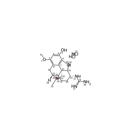 COc1cc(O)c2c3c1C[C@@H]1[C@@H]4CC[C@@H](NC(=N)N)[C@H](O2)[C@]34CCN1C.Cl.Cl